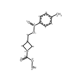 Cc1ccc(S(=O)OCC2CN(C(=O)OC(C)(C)C)C2)cc1